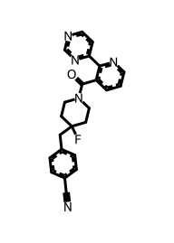 N#Cc1ccc(CC2(F)CCN(C(=O)c3cccnc3-c3ccncn3)CC2)cc1